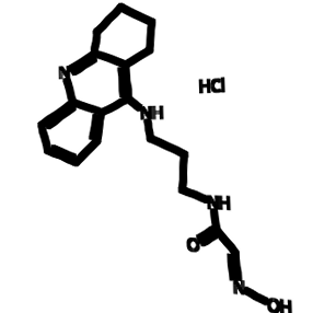 Cl.O=C(C=NO)NCCCNc1c2c(nc3ccccc13)CCCC2